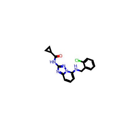 O=C(Nc1nc2cccc(NCc3ccccc3Cl)n2n1)C1CC1